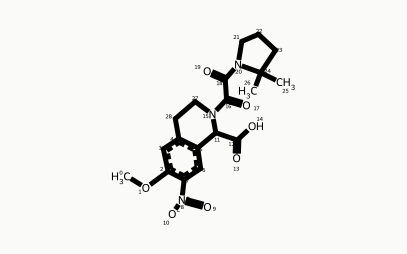 COc1cc2c(cc1[N+](=O)[O-])C(C(=O)O)N(C(=O)C(=O)N1CCCC1(C)C)CC2